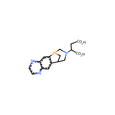 O=C(O)CC(C(=O)O)N1CC2CP(C1)c1cc3nccnc3cc12